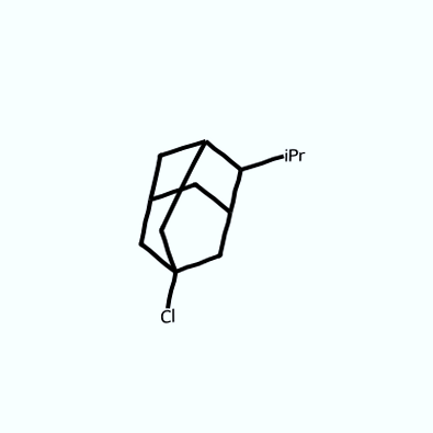 CC(C)C1C2CC3CC1CC(Cl)(C3)C2